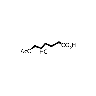 CC(=O)OCCCCCC(=O)O.Cl